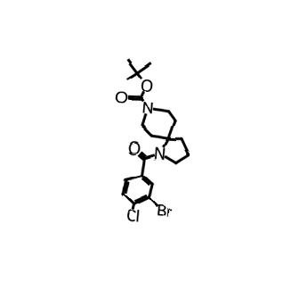 CC(C)(C)OC(=O)N1CCC2(CCCN2C(=O)c2ccc(Cl)c(Br)c2)CC1